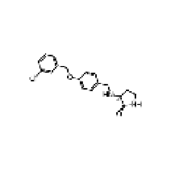 O=C1NCC[C@@H]1NCc1ccc(OCc2cccc(Cl)c2)cc1